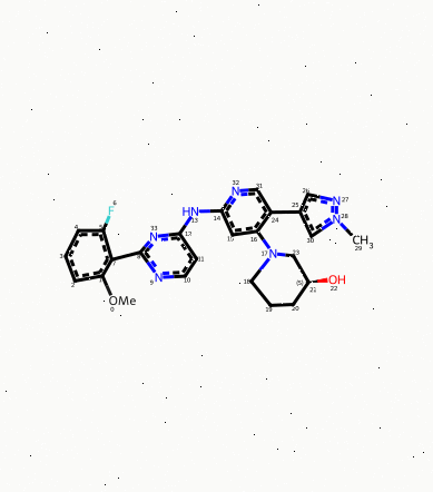 COc1cccc(F)c1-c1nccc(Nc2cc(N3CCC[C@H](O)C3)c(-c3cnn(C)c3)cn2)n1